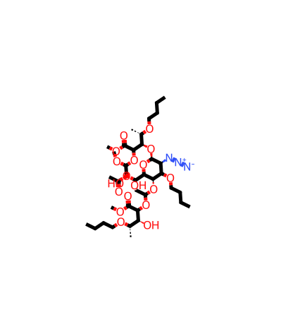 CCCCOC1[C@H](OC(CO)OC(C(=O)OC)[C@H](O)[C@H](C)OCCCC)C(COC(C)=O)O[C@@H](O[C@@H](C(OC(CO)OC)C(=O)OC)[C@H](C)OCCCC)[C@H]1N=[N+]=[N-]